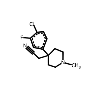 CN1CCC(CC#N)(c2ccc(Cl)c(F)c2)CC1